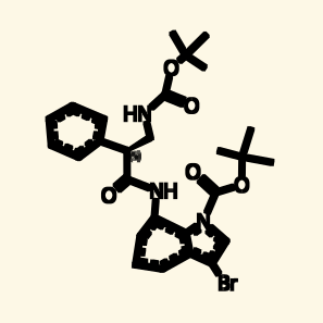 CC(C)(C)OC(=O)NC[C@@H](C(=O)Nc1cccc2c(Br)cn(C(=O)OC(C)(C)C)c12)c1ccccc1